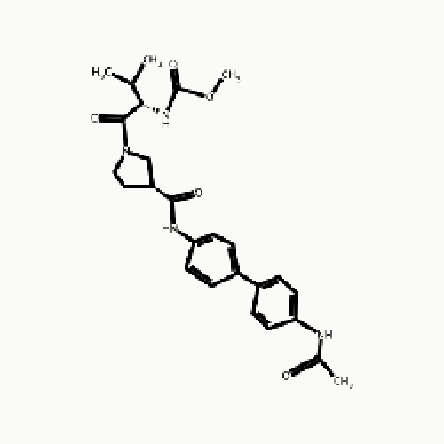 COC(=O)N[C@H](C(=O)N1CC[C@H](C(=O)Nc2ccc(-c3ccc(NC(C)=O)cc3)cc2)C1)C(C)C